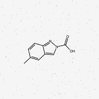 Cc1ccc2nn(C(=O)O)cc2c1